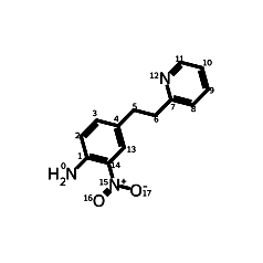 Nc1ccc(CCc2ccccn2)cc1[N+](=O)[O-]